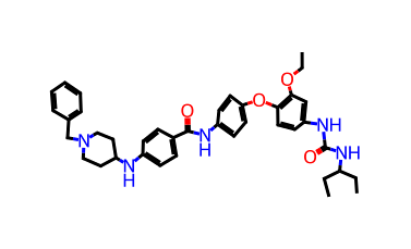 CCOc1cc(NC(=O)NC(CC)CC)ccc1Oc1ccc(NC(=O)c2ccc(NC3CCN(Cc4ccccc4)CC3)cc2)cc1